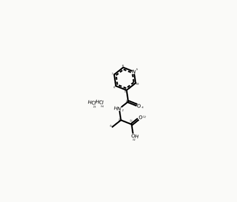 CC(NC(=O)c1cccnc1)C(=O)O.Cl.Cl